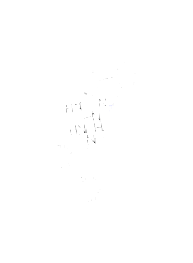 CN(Cc1ccccc1-c1ccccc1)NC(=N)N/N=C/c1ccccc1-c1ccccc1